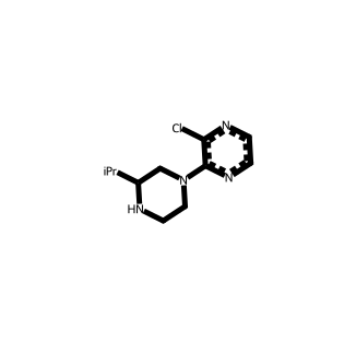 CC(C)C1CN(c2nccnc2Cl)CCN1